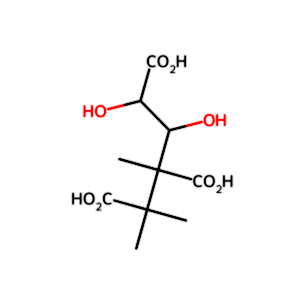 CC(C)(C(=O)O)C(C)(C(=O)O)C(O)C(O)C(=O)O